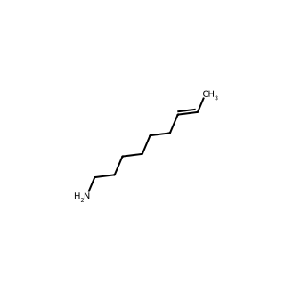 CC=CCCCCCCN